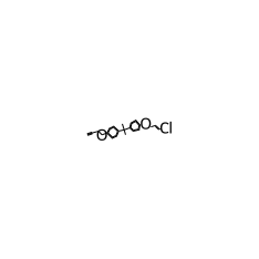 C#CCOc1ccc(C(C)(C)c2ccc(OC/C=C/Cl)cc2)cc1